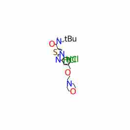 CN(CC(C)(C)C)C(=O)c1cn2c(nc3cc(COCCN4CCOCC4)ccc32)s1.Cl.Cl